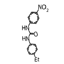 CCc1ccc(NC(=O)Nc2ccc([N+](=O)[O-])cc2)cc1